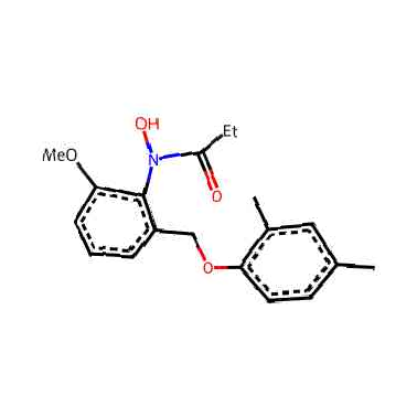 CCC(=O)N(O)c1c(COc2ccc(C)cc2C)cccc1OC